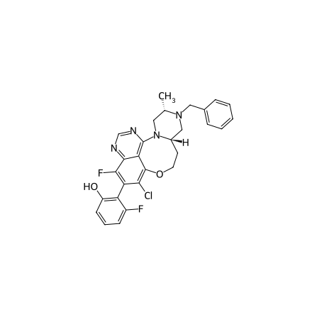 C[C@H]1CN2c3ncnc4c(F)c(-c5c(O)cccc5F)c(Cl)c(c34)OCC[C@H]2CN1Cc1ccccc1